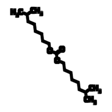 CC(C)CCCCCCOC(=O)OCCCCCCC(C)C